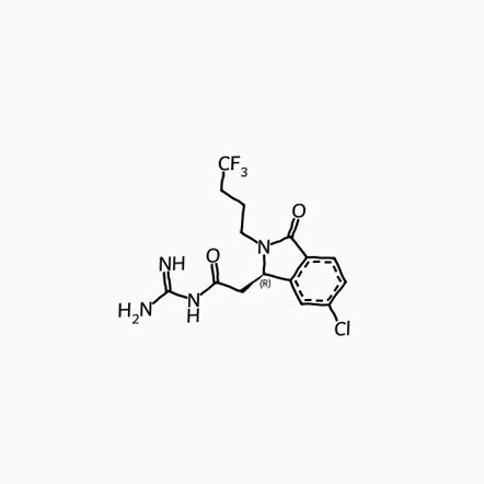 N=C(N)NC(=O)C[C@@H]1c2cc(Cl)ccc2C(=O)N1CCCC(F)(F)F